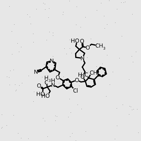 CCOC(=O)C1(CO)CCN(CCCOC2(COc3cc(OCc4cncc(C#N)c4)c(CNC(C)(CO)C(=O)O)cc3Cl)C=CC=C(c3ccccc3)C2(C)C)C1